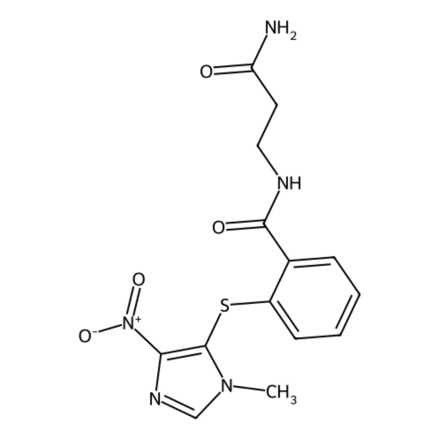 Cn1cnc([N+](=O)[O-])c1Sc1ccccc1C(=O)NCCC(N)=O